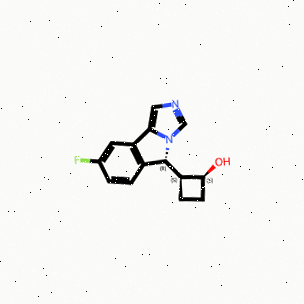 O[C@H]1CC[C@H]1[C@@H]1c2ccc(F)cc2-c2cncn21